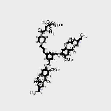 C/C=C1\C[C@H]2C=Nc3cc(OCc4cc(CCCN5CCN(C(=O)CCC(C)(C)SSC)CC5)cc(COc5cc6c(cc5OC)C(=O)N5C/C(=C/C)C[C@H]5C=N6)c4)c(OC)cc3C(=O)N2C1